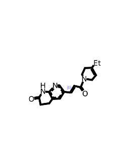 CCC1=CCN(C(=O)/C=C/c2cnc3c(c2)CCC(=O)N3)CC1